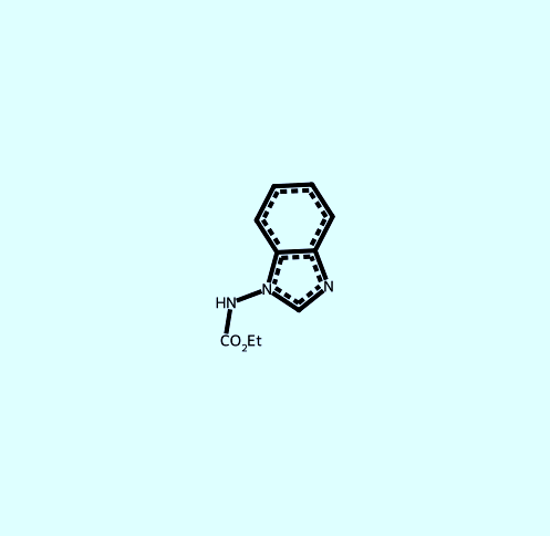 CCOC(=O)Nn1cnc2ccccc21